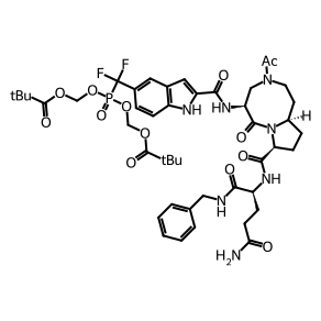 CC(=O)N1CC[C@H]2CC[C@@H](C(=O)N[C@@H](CCC(N)=O)C(=O)NCc3ccccc3)N2C(=O)[C@@H](NC(=O)c2cc3cc(C(F)(F)P(=O)(OCOC(=O)C(C)(C)C)OCOC(=O)C(C)(C)C)ccc3[nH]2)C1